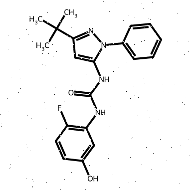 CC(C)(C)c1cc(NC(=O)Nc2cc(O)ccc2F)n(-c2ccccc2)n1